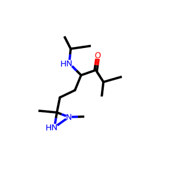 CC(C)NC(CCC1(C)NN1C)C(=O)C(C)C